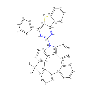 CC1(C)c2cccc3c4ccccc4c4cccc5c4c4c(c1ccc4n5-c1nc(-c4ccccc4)c4sc5ccccc5c4n1)c23